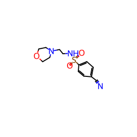 N#Cc1ccc(S(=O)(=O)NCCN2CCOCC2)cc1